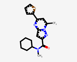 CN(C(=O)c1cc2nc(-c3cccs3)cc(C(F)(F)F)n2n1)C1CCCCC1